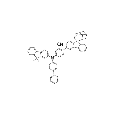 CC1(C)c2ccccc2-c2ccc(N(c3ccc(-c4ccccc4)cc3)c3ccc(-c4ccc5c(c4)-c4ccccc4C54C5CC6CC(C5)CC4C6)c(C#N)c3)cc21